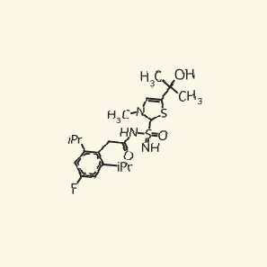 CC(C)c1cc(F)cc(C(C)C)c1CC(=O)NS(=N)(=O)C1SC(C(C)(C)O)=CN1C